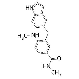 CNC(=O)c1ccc(NC)c(Cc2ccc3[nH]ccc3c2)c1